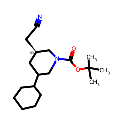 CC(C)(C)OC(=O)N1CC(C2CCCCC2)C[C@@H](CC#N)C1